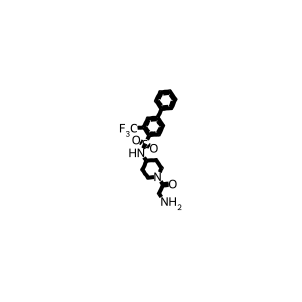 NCC(=O)N1CCC(NS(=O)(=O)c2ccc(-c3ccccc3)cc2C(F)(F)F)CC1